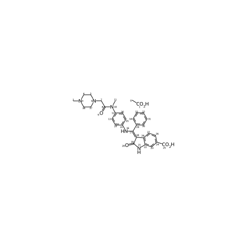 CC(=O)O.CN1CCN(CC(=O)N(C)c2ccc(N/C(=C3\C(=O)Nc4cc(C(=O)O)ccc43)c3ccccc3)cc2)CC1